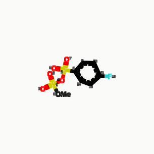 COS(=O)(=O)OS(=O)(=O)c1ccc(F)cc1